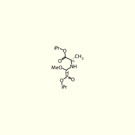 COC(N[C@@H](C)C(=O)OC(C)C)[PH](=O)OC(C)C